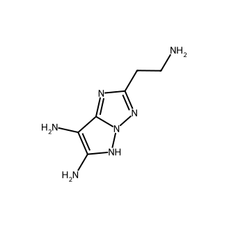 NCCc1nc2c(N)c(N)[nH]n2n1